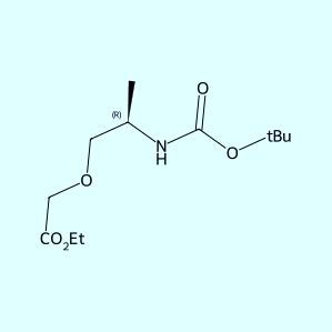 CCOC(=O)COC[C@@H](C)NC(=O)OC(C)(C)C